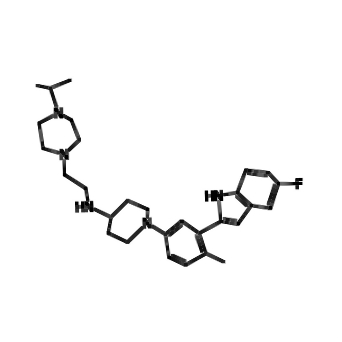 Cc1ccc(N2CCC(NCCN3CCN(C(C)C)CC3)CC2)cc1-c1cc2cc(F)ccc2[nH]1